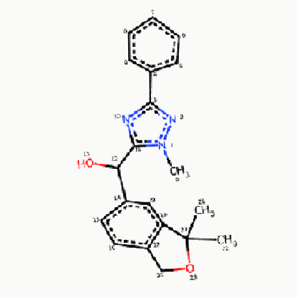 Cn1nc(-c2ccccc2)nc1C(O)c1ccc2c(c1)C(C)(C)OC2